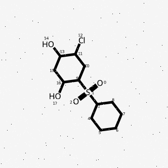 O=S(=O)(C1CCCCC1)C1CC(Cl)C(O)CC1O